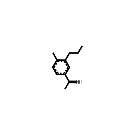 CCCc1cc(C(C)=N)ccc1C